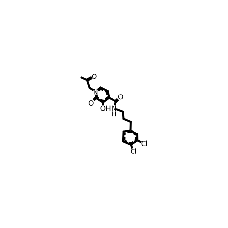 CC(=O)Cn1ccc(C(=O)NCCCc2ccc(Cl)c(Cl)c2)c(O)c1=O